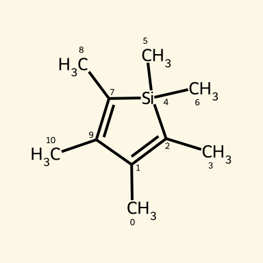 CC1=C(C)[Si](C)(C)C(C)=C1C